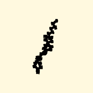 CCCCCCC1CCC(c2ccc(OCCCC3CCC(C)CC3)cc2)CC1